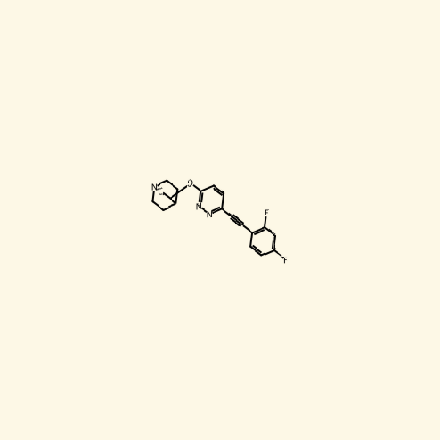 Fc1ccc(C#Cc2ccc(OC3CN4CCC3CC4)nn2)c(F)c1